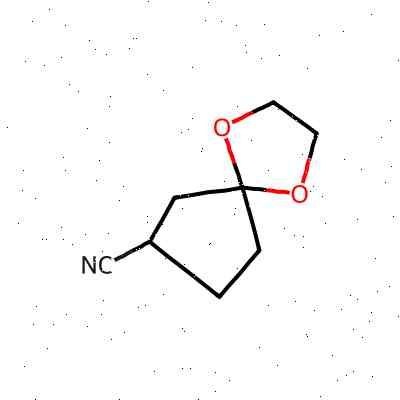 N#CC1CCC2(C1)OCCO2